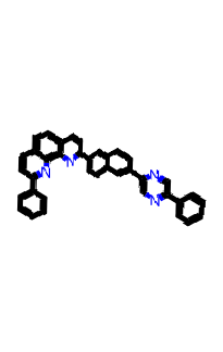 c1ccc(-c2cnc(-c3ccc4cc(-c5ccc6ccc7ccc(-c8ccccc8)nc7c6n5)ccc4c3)cn2)cc1